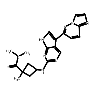 CN(C)C(=O)C1(C)CC(Nc2ncc3c(-c4ccc5nccn5n4)c[nH]c3n2)C1